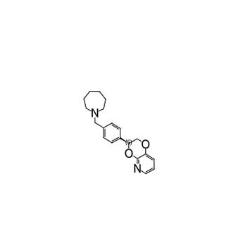 c1cnc2c(c1)OC[C@H](c1ccc(CN3CCCCCC3)cc1)O2